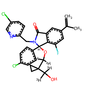 [2H]C([2H])(O)C1(C([2H])([2H])O[C@]2(c3ccc(Cl)cc3)c3c(F)cc(C(=C)C)cc3C(=O)N2Cc2ccc(Cl)cn2)CC1